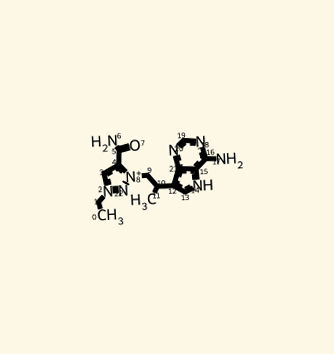 CCn1cc(C(N)=O)[n+](CC(C)c2c[nH]c3c(N)ncnc23)n1